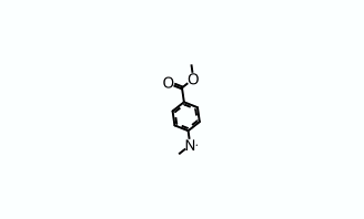 C[N]c1ccc(C(=O)OC)cc1